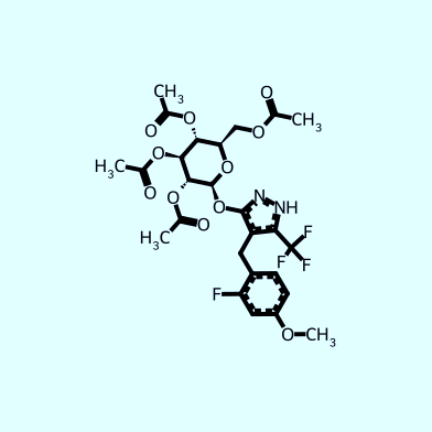 COc1ccc(Cc2c(O[C@@H]3O[C@H](COC(C)=O)[C@@H](OC(C)=O)[C@H](OC(C)=O)[C@H]3OC(C)=O)n[nH]c2C(F)(F)F)c(F)c1